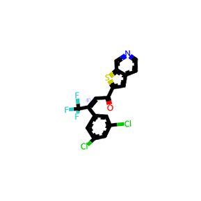 O=C(/C=C(\c1cc(Cl)cc(Cl)c1)C(F)(F)F)c1cc2ccncc2s1